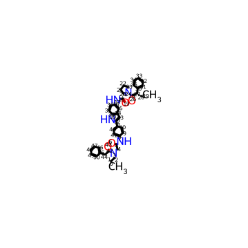 CCCN(CC(=O)Nc1ccc(-c2cc3cc(NC(=O)[C@@H]4CCCN4C(=O)[C@H](CC)c4ccccc4)ccc3[nH]2)cc1)C(=O)Cc1ccccc1